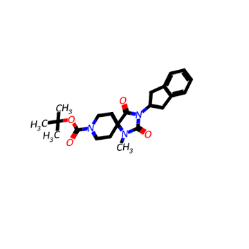 CN1C(=O)N(C2Cc3ccccc3C2)C(=O)C12CCN(C(=O)OC(C)(C)C)CC2